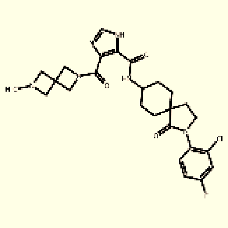 CN1CC2(C1)CN(C(=O)c1nc[nH]c1C(=O)NC1CCC3(CC1)CCN(c1ccc(F)cc1Cl)C3=O)C2